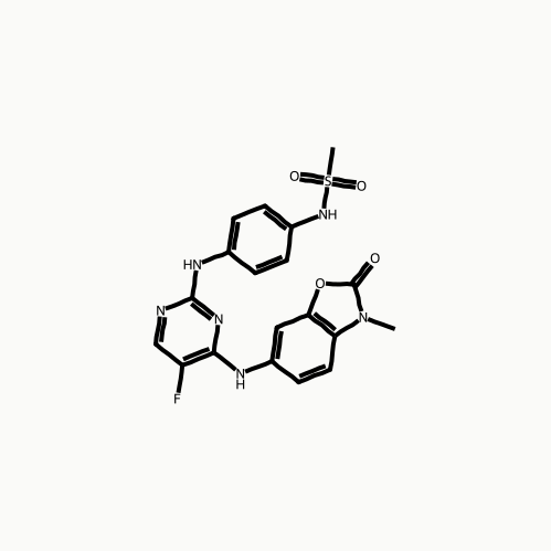 Cn1c(=O)oc2cc(Nc3nc(Nc4ccc(NS(C)(=O)=O)cc4)ncc3F)ccc21